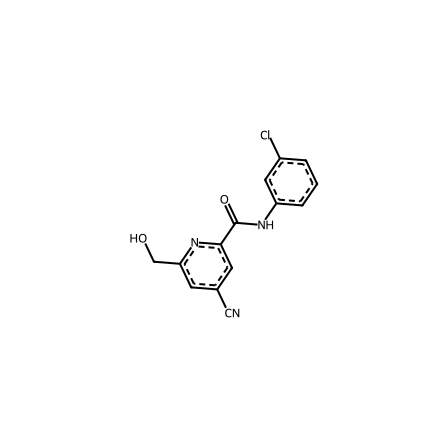 N#Cc1cc(CO)nc(C(=O)Nc2cccc(Cl)c2)c1